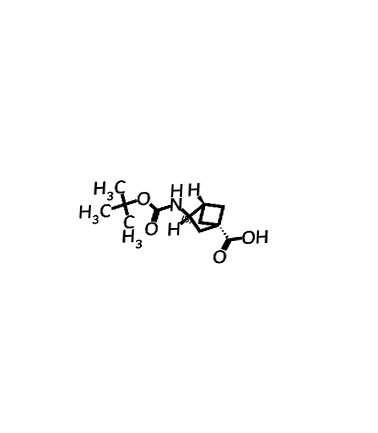 CC(C)(C)OC(=O)N[C@H]1C[C@]2(C(=O)O)C[C@@H]1C2